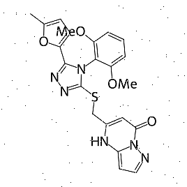 COc1cccc(OC)c1-n1c(SCc2cc(=O)n3nccc3[nH]2)nnc1-c1ccc(C)o1